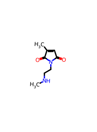 CNCCN1C(=O)C=C(C)C1=O